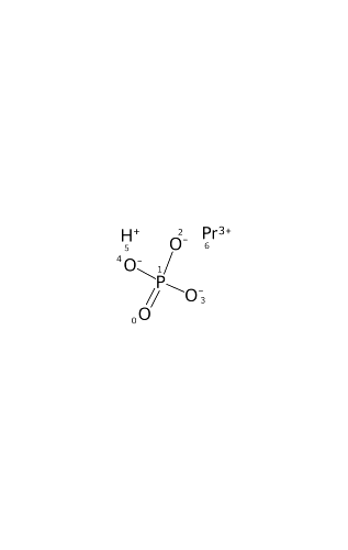 O=P([O-])([O-])[O-].[H+].[Pr+3]